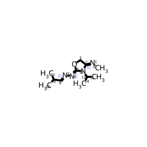 C/N=C1/CO/C(=N\N=C\C(C)C)N1C(C)C